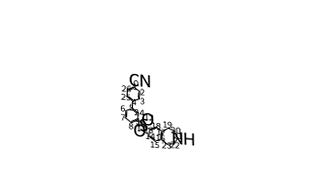 N#Cc1ccc(-c2cccc(S(=O)(=O)c3ccc4c(c3)CCNCC4)c2)cc1